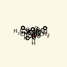 CC(=O)N(C(=O)[C@@H](N)Cc1ccccc1)[C@](Cc1c[nH]cn1)(C(=O)N[C@@H](CC1CCCCC1)[C@@H](O)CC(=O)NCC(C)C)C1COc2ccc(C(=O)OCc3ccccc3)cc21